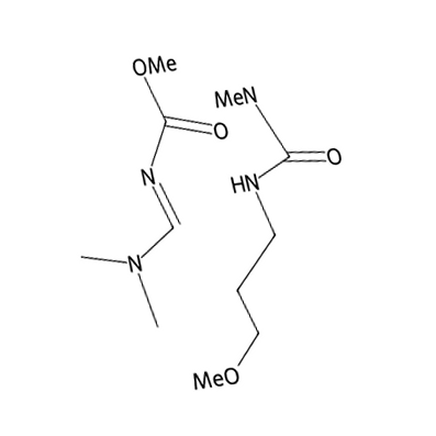 CNC(=O)NCCCOC.COC(=O)N=CN(C)C